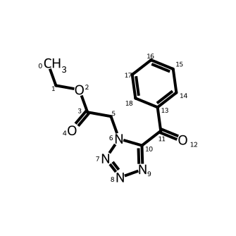 CCOC(=O)Cn1nnnc1C(=O)c1ccccc1